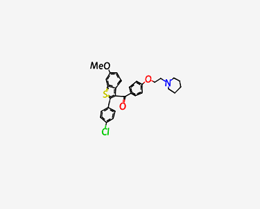 COc1ccc2c(C(=O)c3ccc(OCCN4CCCCC4)cc3)c(-c3ccc(Cl)cc3)sc2c1